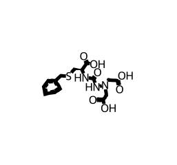 O=C(O)CN(CC(=O)O)NC(=O)N[C@@H](CSCc1ccccc1)C(=O)O